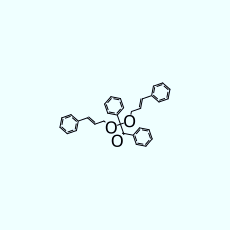 O=C(c1ccccc1)C(OCC=Cc1ccccc1)(OCC=Cc1ccccc1)c1ccccc1